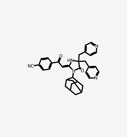 N#Cc1ccc(C(=O)C=C2NC(Cc3ccncc3)(Cc3ccncc3)C(=O)N2C2C3CC4CC(C3)CC2C4)cc1